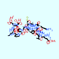 CC[C@H](C)[C@H](NC(=O)[C@@H]1CCCN1C(=O)[C@@H]1CCCN1C(=O)[C@H](C)NC(=O)[C@H](Cc1ccc(O)cc1)NC(=O)[C@H](CCSC)NC(=O)[C@H](C)NC(=O)[C@H](CCCCN)NC(=O)CNC(=O)[C@@H](NC(=O)[C@@H](N)CCC(=O)O)C(C)C)C(=O)N[C@@H](CCC(=O)O)C(=O)NCC(=O)O